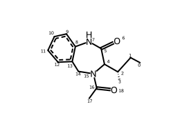 CC[C@H](C)C1C(=O)Nc2ccccc2CN1C(C)=O